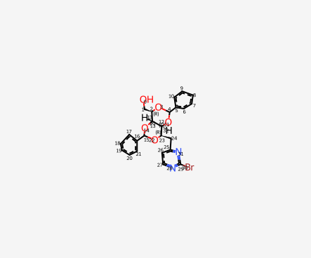 OC[C@H]1OC(c2ccccc2)O[C@@H]2[C@@H]1OC(c1ccccc1)O[C@@H]2Cc1ccnc(Br)n1